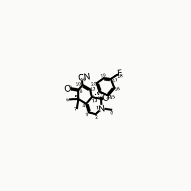 CN1CC=C2C(C)(C)C(=O)C(C#N)=C[C@@]2(c2ccc(F)cc2)C1=O